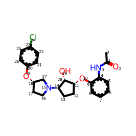 CC(=O)Nc1ccccc1O[C@@H]1CC[C@@H](N2CC[C@H](Oc3ccc(Cl)cc3)C2)[C@@H]1O